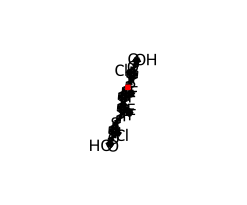 O=C(O)COc1ccc(SCCCc2ccc(-c3ccc(CCCSc4ccc(OCC(=O)O)c(Cl)c4)c(C(F)(F)F)c3)cc2C(F)(F)F)cc1Cl